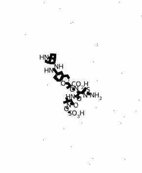 CC1(C)[C@H](NC(=O)/C(=N\O[C@](C)(C(=O)O)[C@H]2CCc3cc(C(=N)NC4C5CCC56NCC46)ccc3O2)c2csc(N)n2)C(=O)N1OS(=O)(=O)O